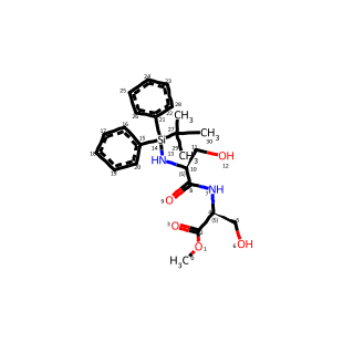 COC(=O)[C@H](CO)NC(=O)[C@H](CO)N[Si](c1ccccc1)(c1ccccc1)C(C)(C)C